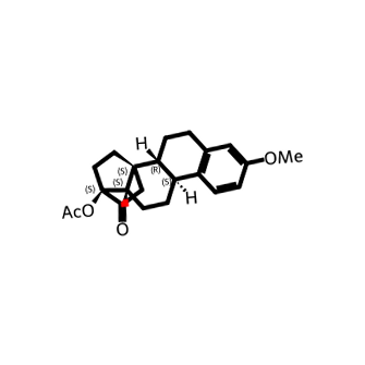 COc1ccc2c(c1)CC[C@@H]1[C@@H]2CC[C@@]2(C)[C@]13CC[C@@]2(OC(C)=O)C(=O)C3